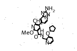 COc1nc(C)c(-c2ccn3nc(N)nc3c2)cc1C(=O)NCc1ncccc1OC1CCCC1